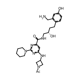 CC(=O)N1CC(Nc2cc(C(=O)NC[C@@H](O)CCc3ccc(O)cc3CN)nc(N3CCCCC3)n2)C1